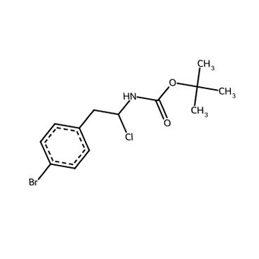 CC(C)(C)OC(=O)NC(Cl)Cc1ccc(Br)cc1